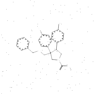 CC(C)(C)OC(=O)N1CC(c2ccc(Br)cc2)C(COCc2ccccc2)(c2ccc(F)cc2)C1